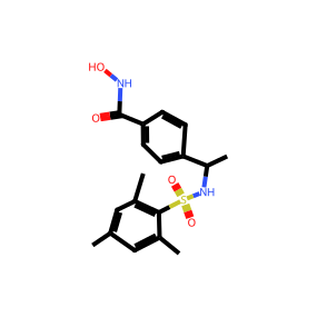 Cc1cc(C)c(S(=O)(=O)NC(C)c2ccc(C(=O)NO)cc2)c(C)c1